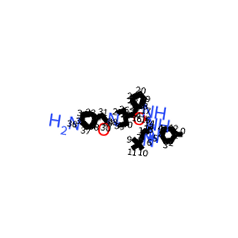 Cc1ccc(-n2nc(C(C)(C)C)cc2NC(=O)Nc2ccccc2CC2CCN(C(=O)Cc3ccc(N)cc3)CC2)cc1